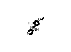 CCOc1ccc(-c2nc3cnccc3[nH]2)c(O)c1